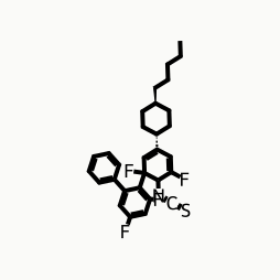 CCCCC[C@H]1CC[C@H](C2=CC(F)(c3c(F)cc(F)cc3-c3ccccc3)C(N=C=S)C(F)=C2)CC1